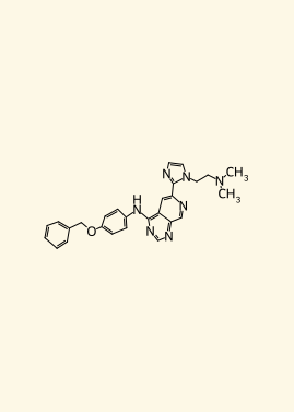 CN(C)CCn1ccnc1-c1cc2c(Nc3ccc(OCc4ccccc4)cc3)ncnc2cn1